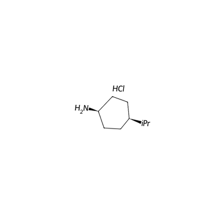 CC(C)[C@H]1CC[C@@H](N)CC1.Cl